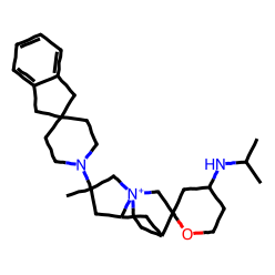 CC(C)NC1CCOC2(C1)C[N+]13CCC2CC1CC(C)(N1CCC2(CC1)Cc1ccccc1C2)C3